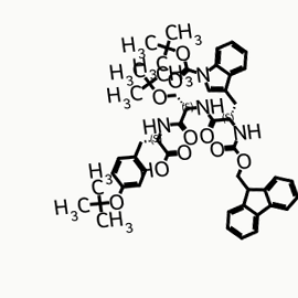 CC(C)(C)OC[C@H](NC(=O)[C@H](Cc1cn(C(=O)OC(C)(C)C)c2ccccc12)NC(=O)OCC1c2ccccc2-c2ccccc21)C(=O)N[C@@H](Cc1ccc(OC(C)(C)C)cc1)C(=O)O